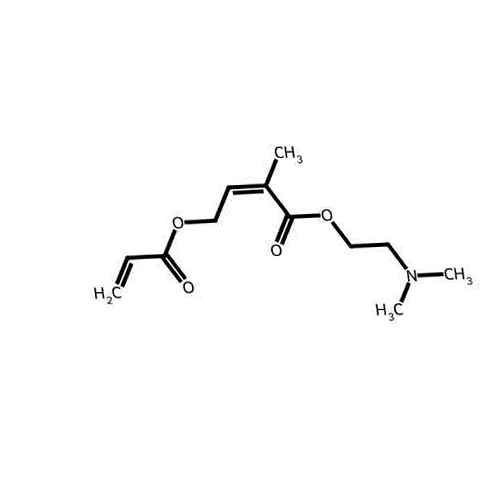 C=CC(=O)OCC=C(C)C(=O)OCCN(C)C